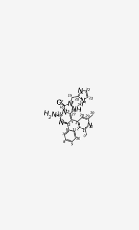 Cc1cc(-c2c(-c3ccccc3)nc(N)[n+]3c(=O)n(Cc4nccn4C)[nH]c23)cc(C)n1